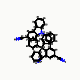 N#Cc1cc(C#N)c([Si](c2ccccc2)(c2ccccc2)c2ccccc2)c(-c2cccc(-n3c4ccccc4c4cc(C#N)ccc43)c2)c1